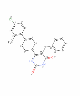 O=c1[nH]c(C2CC=C(c3ccc(Cl)cc3C(F)(F)F)CC2)c(Cc2ccccc2)c(=O)[nH]1